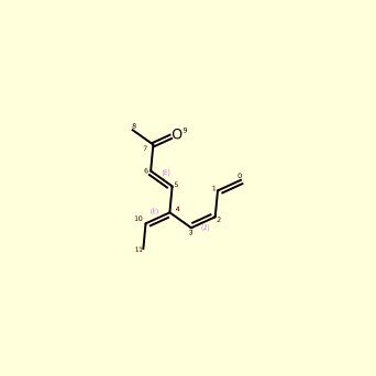 C=C\C=C/C(/C=C/C(C)=O)=C\C